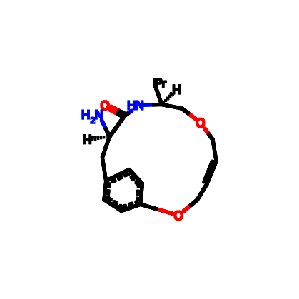 CC(C)[C@H]1COCC=CCOc2ccc(cc2)C[C@@H](N)C(=O)N1